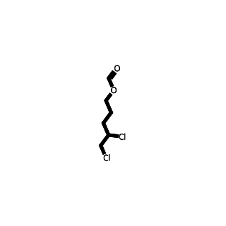 O=COCCCC(Cl)CCl